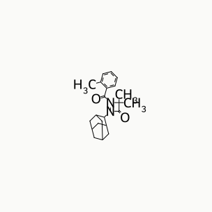 Cc1ccccc1C(=O)N1N(C2C3CC4CC(C3)CC2C4)C(=O)C1(C)C